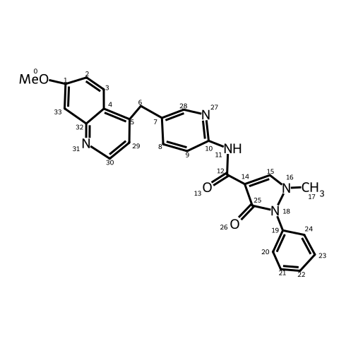 COc1ccc2c(Cc3ccc(NC(=O)c4cn(C)n(-c5ccccc5)c4=O)nc3)ccnc2c1